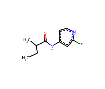 CCC(C)C(=O)Nc1ccnc(F)c1